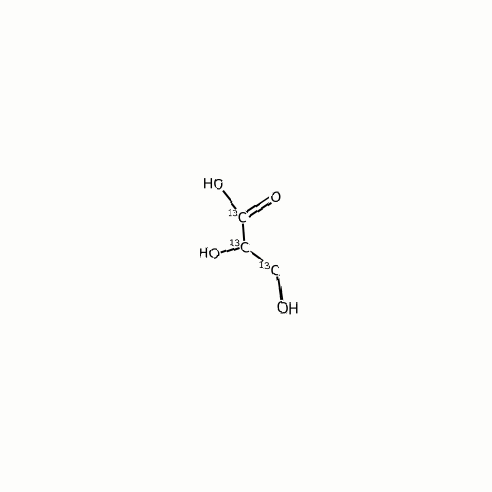 O=[13C](O)[13CH](O)[13CH2]O